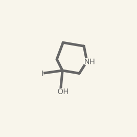 OC1(I)CCCNC1